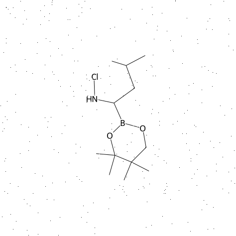 CC(C)CC(NCl)B1OCC(C)(C)C(C)(C)O1